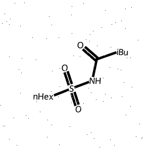 CCCCCCS(=O)(=O)NC(=O)C(C)CC